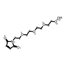 O=C1C=CC(=O)N1CCOCCOCCOCCOO